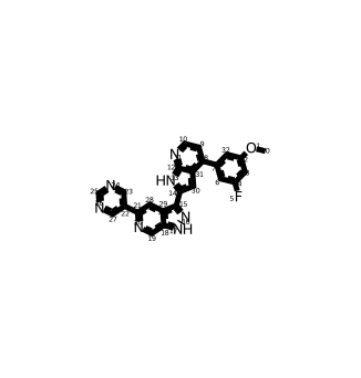 COc1cc(F)cc(-c2ccnc3[nH]c(-c4n[nH]c5cnc(-c6cncnc6)cc45)cc23)c1